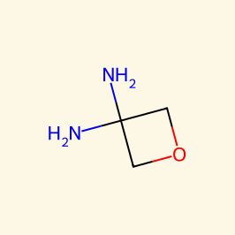 NC1(N)COC1